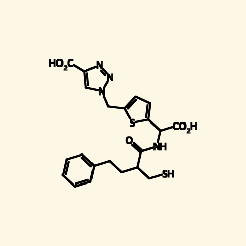 O=C(O)c1cn(Cc2ccc(C(NC(=O)C(CS)CCc3ccccc3)C(=O)O)s2)nn1